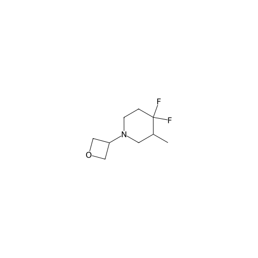 CC1CN(C2COC2)CCC1(F)F